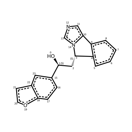 O[C@@H](C[C@H]1c2ccccc2-c2cncn21)c1ccc2occc2c1